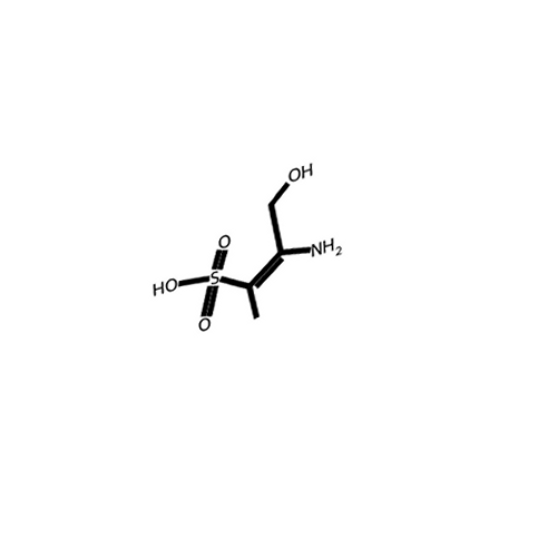 CC(=C(N)CO)S(=O)(=O)O